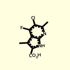 Cc1nc2[nH]c(C(=O)O)c(C)c2c(F)c1Cl